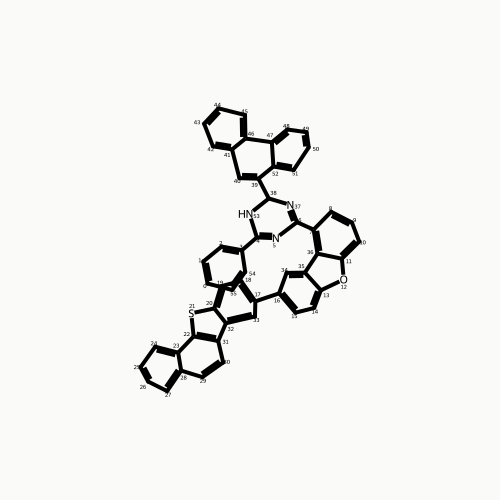 c1ccc(C2=NC(c3cccc4oc5ccc(-c6ccc7sc8c9ccccc9ccc8c7c6)cc5c34)=NC(c3cc4ccccc4c4ccccc34)N2)cc1